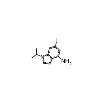 CC(C)n1ccc2c(N)cc(I)cc21